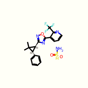 CC1(C)[C@@H](c2ccccc2)[C@@H]1c1noc(-c2cccnc2C(F)(F)F)n1.N[SH](=O)=O